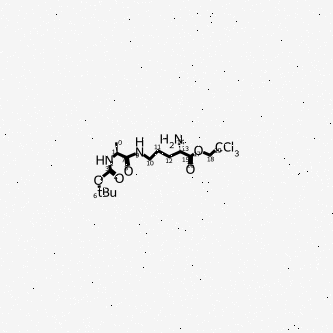 C[C@H](NC(=O)OC(C)(C)C)C(=O)NCCC[C@H](N)C(=O)OCC(Cl)(Cl)Cl